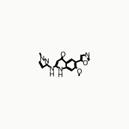 COc1cc2[nH]c(Nc3ccn(C)n3)cc(=O)c2cc1-c1cnco1